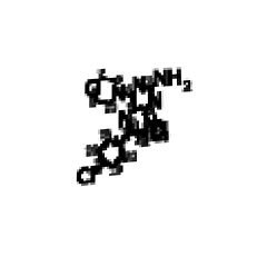 Cl.Nc1nc(N2CCOCC2)c2nc(-c3ccc(Cl)cc3)cnc2n1.O